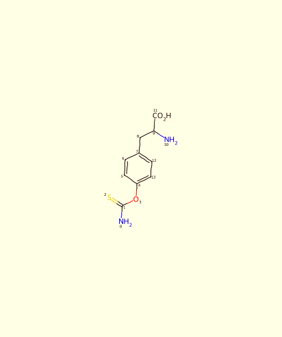 NC(=S)Oc1ccc(CC(N)C(=O)O)cc1